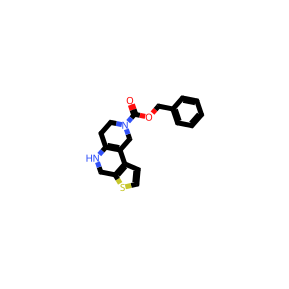 O=C(OCc1ccccc1)N1CCC2=C(C1)c1ccsc1CN2